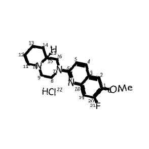 COc1cc2ccc(N3CCN4CCCC[C@@H]4C3)nc2cc1F.Cl